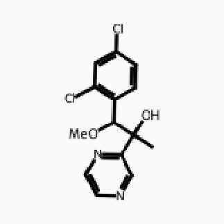 COC(c1ccc(Cl)cc1Cl)C(C)(O)c1cnccn1